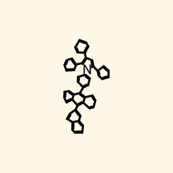 c1ccc(-c2cc(-c3ccccc3)n(-c3ccc(-c4c5ccccc5c(-c5ccc6ccccc6c5)c5ccccc45)cc3)c2-c2ccccc2)cc1